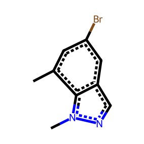 Cc1cc(Br)cc2cnn(C)c12